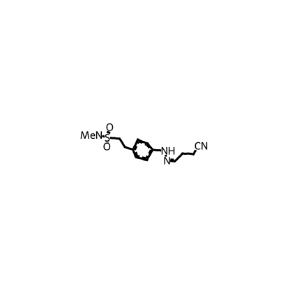 CNS(=O)(=O)CCc1ccc(N/N=C\CCC#N)cc1